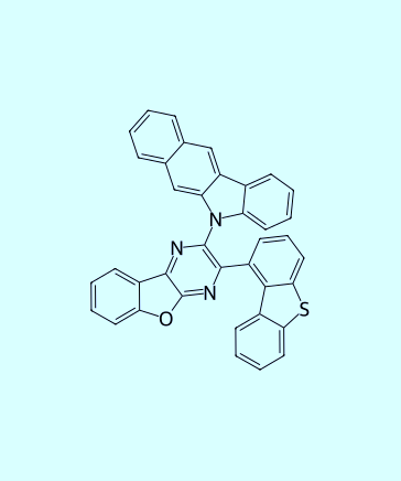 c1ccc2cc3c(cc2c1)c1ccccc1n3-c1nc2c(nc1-c1cccc3sc4ccccc4c13)oc1ccccc12